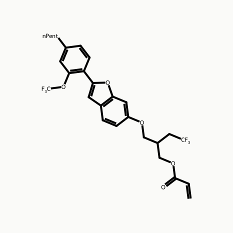 C=CC(=O)OCC(COc1ccc2cc(-c3ccc(CCCCC)cc3OC(F)(F)F)oc2c1)CC(F)(F)F